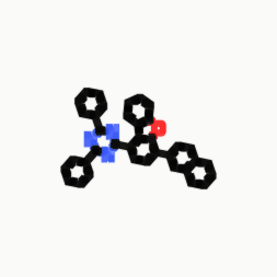 c1ccc(-c2nc(-c3ccccc3)nc(-c3ccc(-c4ccc5ccccc5c4)c4oc5ccccc5c34)n2)cc1